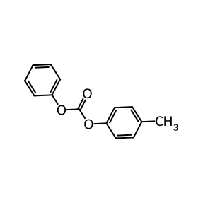 Cc1ccc(OC(=O)Oc2ccccc2)cc1